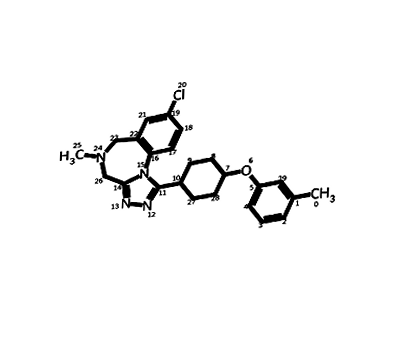 Cc1cccc(OC2CCC(c3nnc4n3-c3ccc(Cl)cc3CN(C)C4)CC2)c1